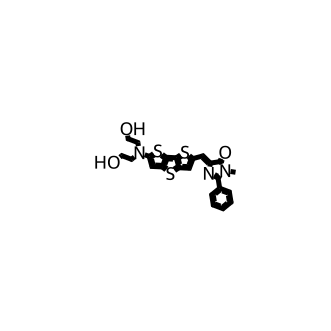 CN1C(=O)/C(=C/c2cc3sc4cc(N(CCO)CCO)sc4c3s2)N=C1c1ccccc1